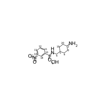 Cl.NC1CCC(CNC(=O)c2cccc([N+](=O)[O-])c2)CC1